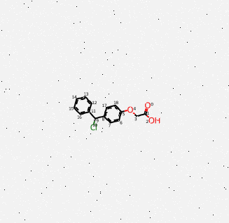 O=C(O)COc1ccc(C(Cl)c2ccccc2)cc1